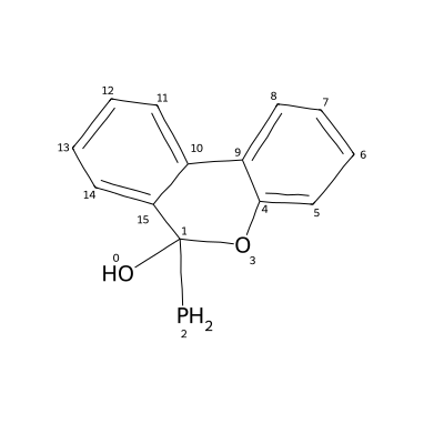 OC1(P)Oc2ccccc2-c2ccccc21